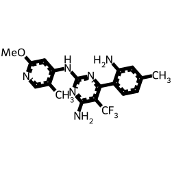 COc1cc(Nc2nc(N)c(C(F)(F)F)c(-c3ccc(C)cc3N)n2)c(C)cn1